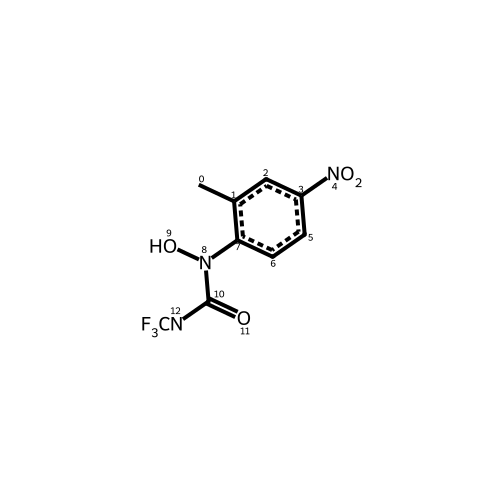 Cc1cc([N+](=O)[O-])ccc1N(O)C(=O)NC(F)(F)F